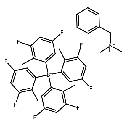 C[NH+](C)Cc1ccccc1.Cc1c(F)cc(F)cc1[B-](c1cc(F)cc(F)c1C)(c1cc(F)cc(F)c1C)c1cc(F)cc(F)c1C